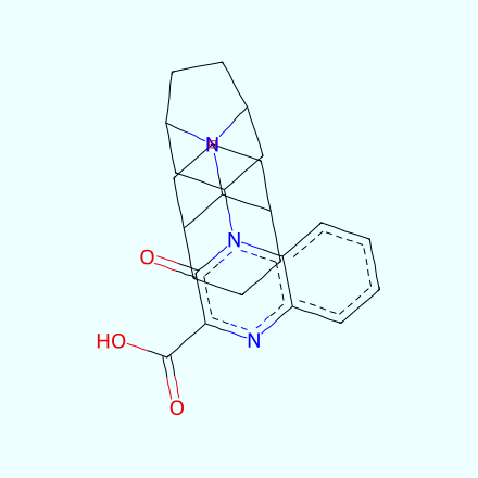 O=C(O)c1nc2ccccc2n(C2CC3CCC(C2)N3C2C3CCCC2CCC3)c1=O